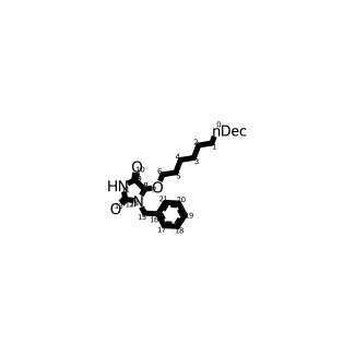 CCCCCCCCCCCCCCCCO[C]1C(=O)NC(=O)N1Cc1ccccc1